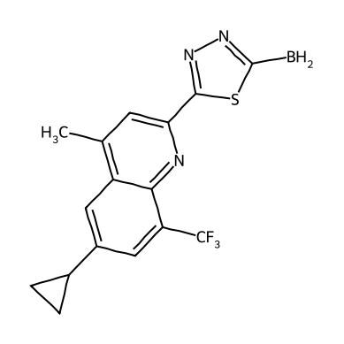 Bc1nnc(-c2cc(C)c3cc(C4CC4)cc(C(F)(F)F)c3n2)s1